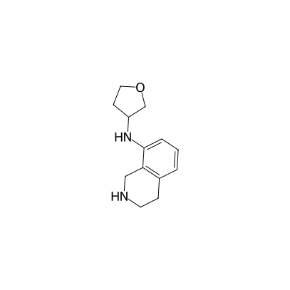 c1cc2c(c(NC3CCOC3)c1)CNCC2